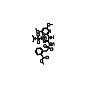 COC(=O)c1ccccc1CS(=O)(=O)NC(=NNS(=O)(=O)N(C)C)Nc1nc(OC)cc(OC)n1